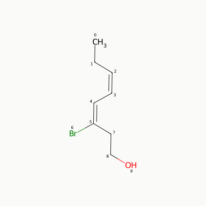 CC/C=C\C=C(\Br)CCO